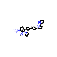 C=NC1=C(N2C=CC=CC2)[C@H](c2ccc(-c3ccc(-c4cccc(-c5ccccn5)n4)cc3)cc2)C2C=CC(N)C1C2